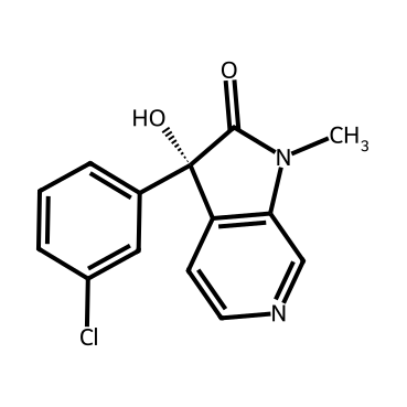 CN1C(=O)[C@](O)(c2cccc(Cl)c2)c2ccncc21